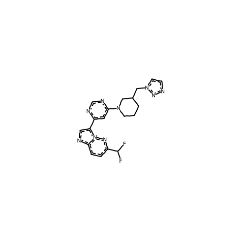 FC(F)c1ccc2ncc(-c3cc(N4CCCC(Cn5ccnn5)C4)ncn3)n2n1